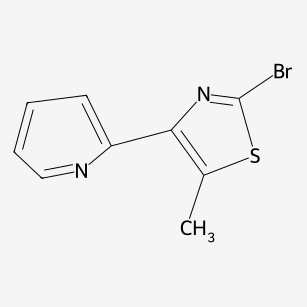 Cc1sc(Br)nc1-c1ccccn1